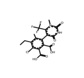 CCc1c(C)c(-c2c(C(F)(F)F)n(C)c(=O)[nH]c2=O)c(C(=O)O)c(C(=O)O)c1Cl